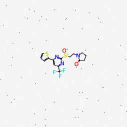 O=C1CCCN1CC[S+]([O-])c1nc(-c2cccs2)cc(C(F)(F)F)n1